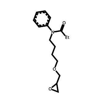 CCC(=O)N(CCCCOCC1CO1)c1ccccc1